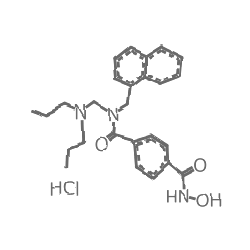 CCCN(CCC)CN(Cc1cccc2ccccc12)C(=O)c1ccc(C(=O)NO)cc1.Cl